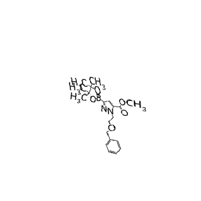 COC(=O)c1cc(B2OC(C)(C)C(C)(C)O2)nn1CCOCc1ccccc1